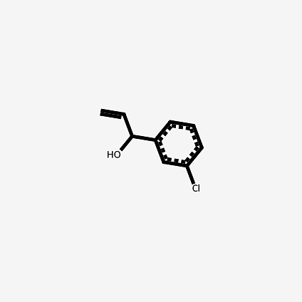 C=CC(O)c1cccc(Cl)c1